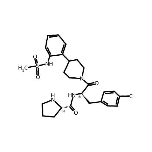 CS(=O)(=O)Nc1ccccc1C1CCN(C(=O)[C@@H](Cc2ccc(Cl)cc2)NC(=O)[C@@H]2CCCN2)CC1